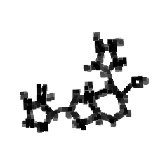 Clc1ccc2nc(-c3nnn[nH]3)cn2c1-c1nnn[nH]1